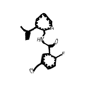 C=C(C)c1cccnc1NC(=O)c1cc(Cl)ccc1F